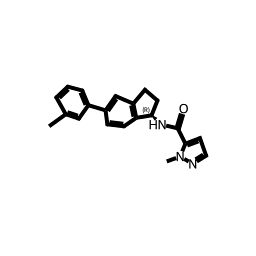 Cc1cccc(-c2ccc3c(c2)CC[C@H]3NC(=O)c2ccnn2C)c1